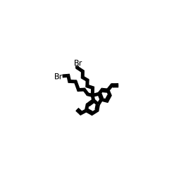 C=Cc1ccc2c(c1)C(CCCCCCBr)(CCCCCCBr)c1cc(C=C)ccc1-2